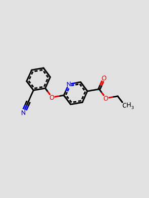 CCOC(=O)c1ccc(Oc2ccccc2C#N)nc1